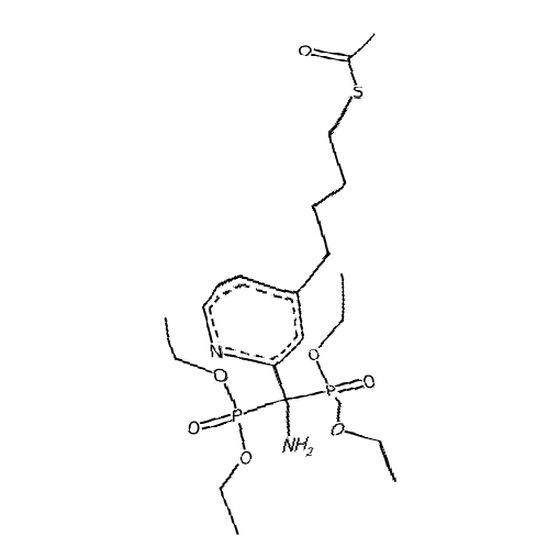 CCOP(=O)(OCC)C(N)(c1cc(CCCCSC(C)=O)ccn1)P(=O)(OCC)OCC